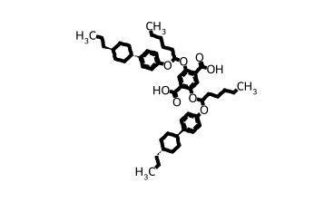 CCCCCC(Oc1ccc([C@H]2CC[C@H](CCC)CC2)cc1)Oc1cc(C(=O)O)c(OC(CCCCC)Oc2ccc([C@H]3CC[C@H](CCC)CC3)cc2)cc1C(=O)O